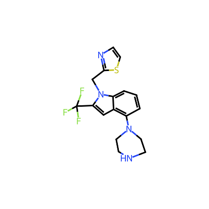 FC(F)(F)c1cc2c(N3CCNCC3)cccc2n1Cc1nccs1